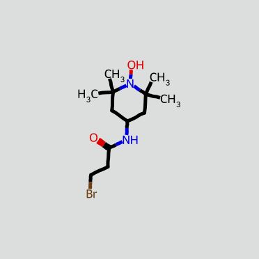 CC1(C)CC(NC(=O)CCBr)CC(C)(C)N1O